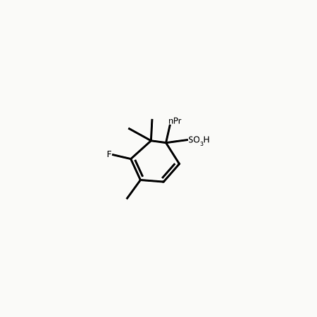 CCCC1(S(=O)(=O)O)C=CC(C)=C(F)C1(C)C